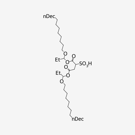 CCCCCCCCCCCCCCCCCCOC(CC)OC(=O)CC(C(=O)OC(CC)OCCCCCCCCCCCCCCCCCC)S(=O)(=O)O